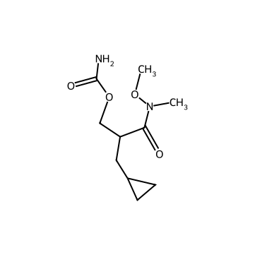 CON(C)C(=O)C(COC(N)=O)CC1CC1